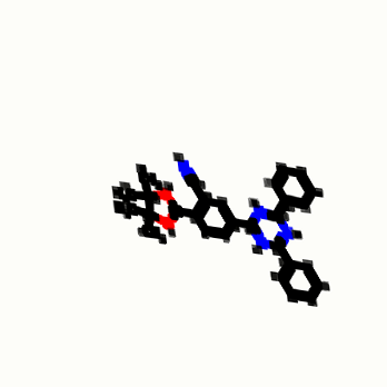 CC1(C)OB(c2ccc(-c3nc(-c4ccccc4)nc(-c4ccccc4)n3)cc2C#N)OC1(C)C